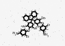 CCCc1cc(C2(c3cc(CCC)c(Oc4ccc(N)cc4CC)c(CCC)c3)c3ccccc3-c3ccccc32)cc(CCC)c1Oc1ccc(N)cc1CC